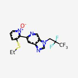 CCSc1ccc[n+]([O-])c1-c1cc2ncn(CC(F)(F)C(F)(F)F)c2cn1